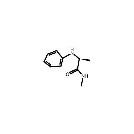 CNC(=O)[C@H](C)Nc1ccccc1